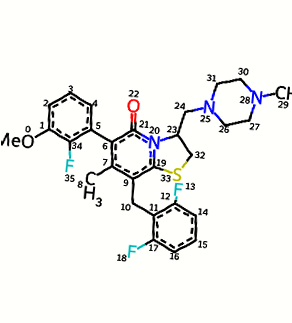 COc1cccc(-c2c(C)c(Cc3c(F)cccc3F)c3n(c2=O)C(CN2CCN(C)CC2)CS3)c1F